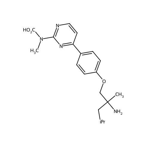 CC(C)CC(C)(N)COc1ccc(-c2ccnc(N(C)C(=O)O)n2)cc1